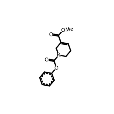 COC(=O)C1=CCCN(C(=O)Oc2ccccc2)C1